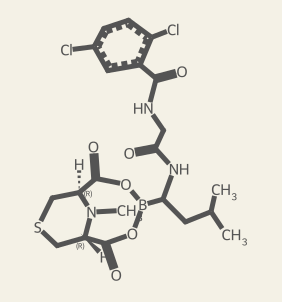 CC(C)CC(NC(=O)CNC(=O)c1cc(Cl)ccc1Cl)B1OC(=O)[C@@H]2CSC[C@@H](C(=O)O1)N2C